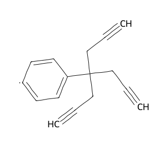 C#CCC(CC#C)(CC#C)c1cc[c]cc1